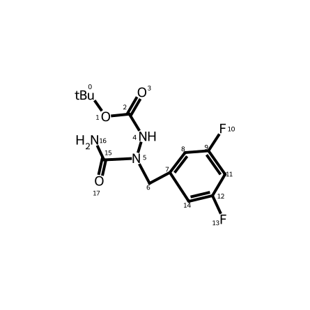 CC(C)(C)OC(=O)NN(Cc1cc(F)cc(F)c1)C(N)=O